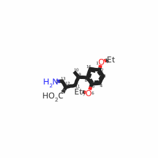 CCOc1ccc(OCC)c(C(C)CC(CN)C(=O)O)c1